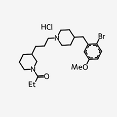 CCC(=O)N1CCCC(CCCN2CCC(Cc3cc(OC)ccc3Br)CC2)C1.Cl